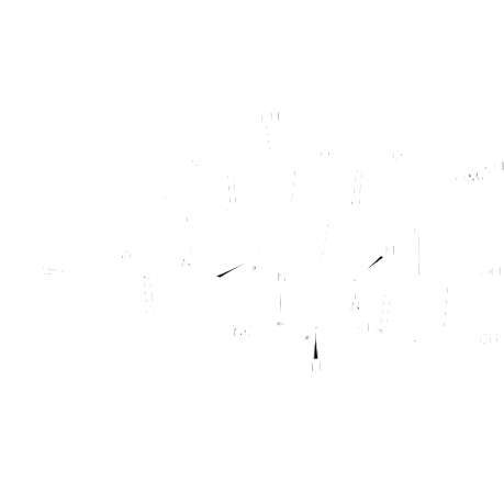 C=CCOC(=O)Oc1c(C)c2c(c3c1CC1[C@@H]4c5c(cc(C)c(O)c5OCOC)C[C@H]([C@H](C#N)N1[C@H]3CNC(=O)OCC(C)(C)C)N4C)OCO2